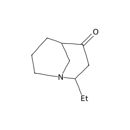 CCC1CC(=O)C2CCCN1C2